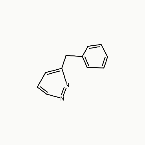 [c]1ccc(Cc2ccccc2)nn1